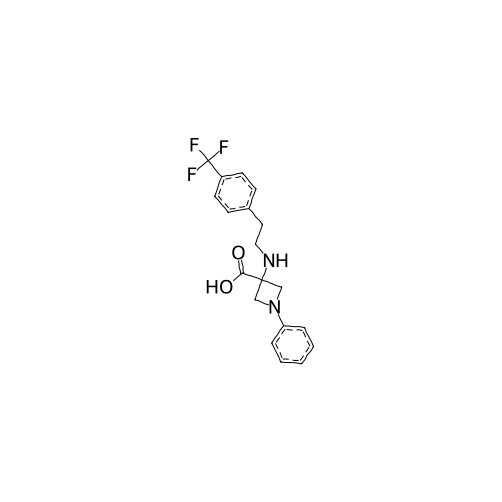 O=C(O)C1(NCCc2ccc(C(F)(F)F)cc2)CN(c2ccccc2)C1